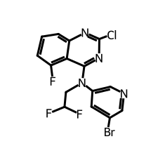 Fc1cccc2nc(Cl)nc(N(CC(F)F)c3cncc(Br)c3)c12